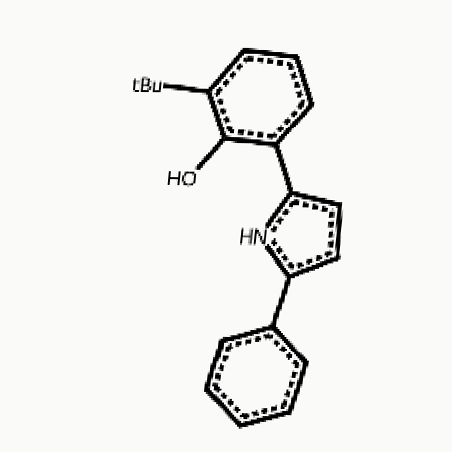 CC(C)(C)c1cccc(-c2ccc(-c3ccccc3)[nH]2)c1O